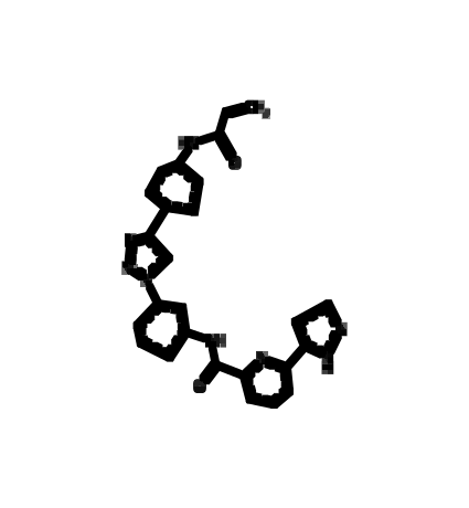 C=CC(=O)Nc1ccc(-c2cn(-c3cccc(NC(=O)c4cccc(-c5ccn[nH]5)n4)c3)nn2)cc1